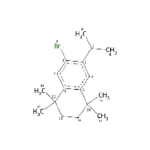 CC(C)c1cc2c(cc1Br)C(C)(C)CCC2(C)C